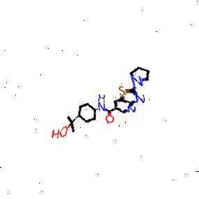 CC(C)(O)[C@H]1CC[C@H](NC(=O)c2cnc3nc(N4CCCC4)sc3c2)CC1